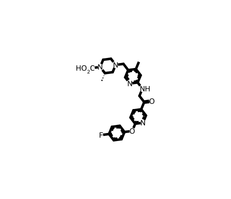 Cc1cc(NCC(=O)c2ccc(Oc3ccc(F)cc3)nc2)ncc1CN1CCN(C(=O)O)[C@@H](C)C1